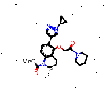 COC(=O)N1c2ccc(-c3cnn(C4CC4)c3)c(OCC(=O)N3CCCCC3)c2CC[C@@H]1C